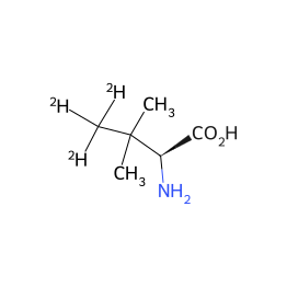 [2H]C([2H])([2H])C(C)(C)[C@H](N)C(=O)O